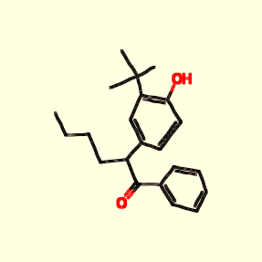 CCCCC(C(=O)c1ccccc1)c1ccc(O)c(C(C)(C)C)c1